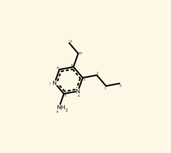 CCCc1nc(N)ncc1CC